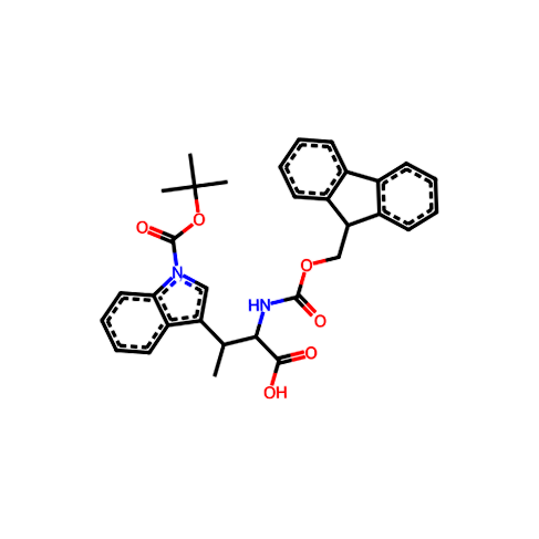 CC(c1cn(C(=O)OC(C)(C)C)c2ccccc12)C(NC(=O)OCC1c2ccccc2-c2ccccc21)C(=O)O